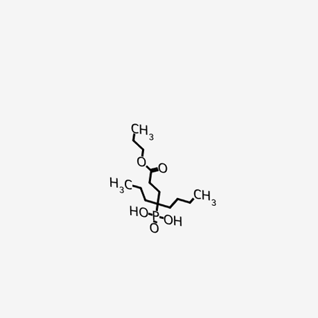 CCCCC(CCC)(CCC(=O)OCCC)P(=O)(O)O